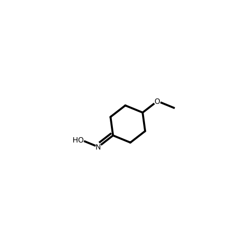 COC1CCC(=NO)CC1